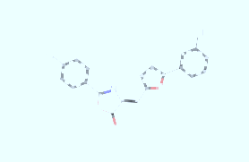 CC(C)(C)c1ccc(C2=N/C(=C\c3ccc(-c4cccc(C(F)(F)F)c4)o3)C(=O)O2)cc1